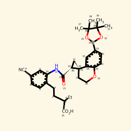 CCC(CCc1ccc(C#N)cc1NC(=O)[C@@H]1C[C@]12CCOc1ccc(B3OC(C)(C)C(C)(C)O3)cc12)C(=O)O